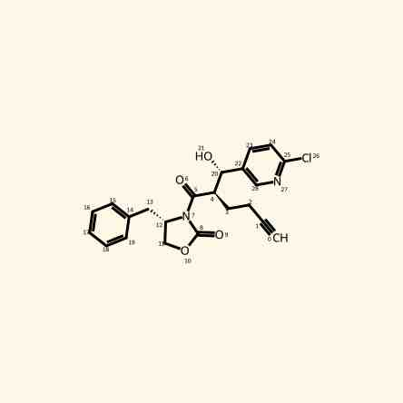 C#CCC[C@@H](C(=O)N1C(=O)OC[C@@H]1Cc1ccccc1)[C@H](O)c1ccc(Cl)nc1